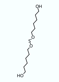 OCCCCCCOSOCCCCCCO